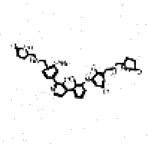 COc1cc(-c2nccc(-c3cccc(Nc4cc(Cl)cc(CNCC5CCC(=O)N5)c4F)c3Cl)c2Cl)ccc1CNCC1CCC(=O)N1